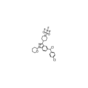 O=S(=O)(N1CCC(c2nn(C3CCCCO3)c3ccc(C(Cl)c4ccc(Cl)cc4)cc23)CC1)C(F)(F)F